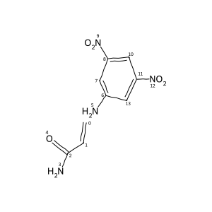 C=CC(N)=O.Nc1cc([N+](=O)[O-])cc([N+](=O)[O-])c1